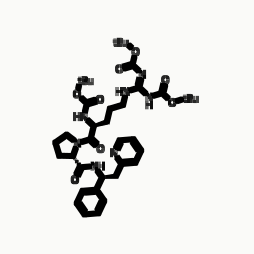 CC(C)(C)OC(=O)/N=C(\NCCC[C@H](NC(=O)OC(C)(C)C)C(=O)N1CCC[C@H]1C(=O)N[C@@H](Cc1ccccn1)c1ccccc1)NC(=O)OC(C)(C)C